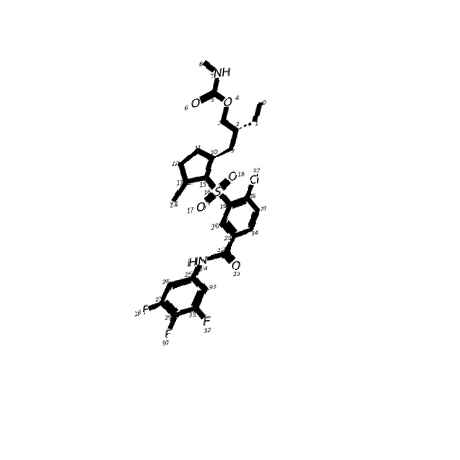 CC[C@@H](COC(=O)NC)C[C@@H]1CCC(C)C1S(=O)(=O)c1cc(C(=O)Nc2cc(F)c(F)c(F)c2)ccc1Cl